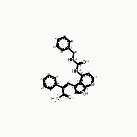 NC(=O)C(=Cc1c[nH]c2nccc(NC(=O)NCc3ccccc3)c12)c1ccccc1